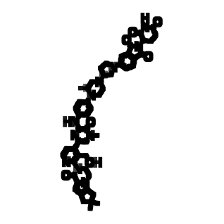 C[C@H]1CN([C@@H]2CCN(c3ccc4c(c3)C(=O)N(C3CCC(=O)NC3=O)C4=O)C2)CCN1c1ccc(Nc2nc(-c3ccnc(N4CCn5c(cc6c5CC(C)(C)C6)C4=O)c3CO)cn(C)c2=O)cc1